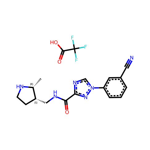 C[C@H]1NCC[C@H]1CNC(=O)c1ncn(-c2cccc(C#N)c2)n1.O=C(O)C(F)(F)F